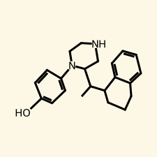 CC(C1CCCc2ccccc21)C1CNCCN1c1ccc(O)cc1